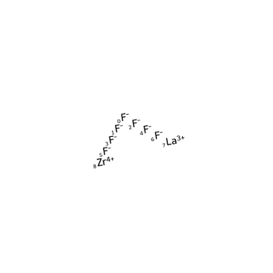 [F-].[F-].[F-].[F-].[F-].[F-].[F-].[La+3].[Zr+4]